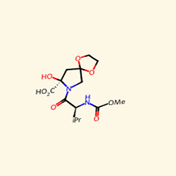 COC(=O)N[C@H](C(=O)N1CC2(C[C@@]1(O)C(=O)O)OCCO2)C(C)C